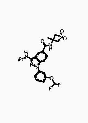 CC(C)Nc1nn(-c2cccc(OC(F)F)c2)c2ccc(C(=O)NC3(C)CS(=O)(=O)C3)cc12